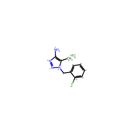 Cc1c(N)nnn1Cc1ccccc1F.Cl